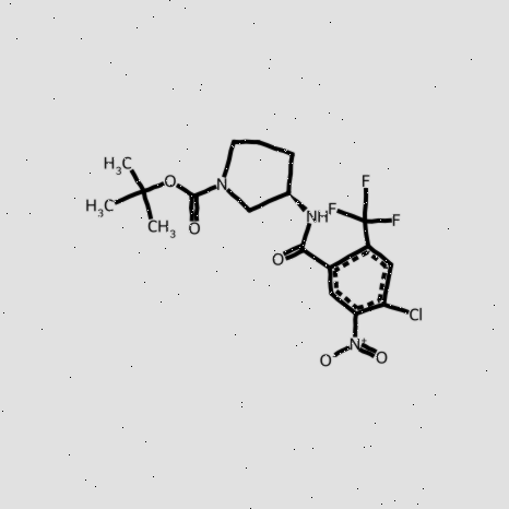 CC(C)(C)OC(=O)N1CCC[C@@H](NC(=O)c2cc([N+](=O)[O-])c(Cl)cc2C(F)(F)F)C1